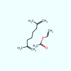 C=C(C)CCCCC(=C)C.C=COC(C)=O